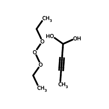 CC#CC(O)O.CCOOOCC